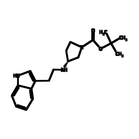 CC(C)(C)OC(=O)N1CC[C@@H](NCCc2c[nH]c3ccccc23)C1